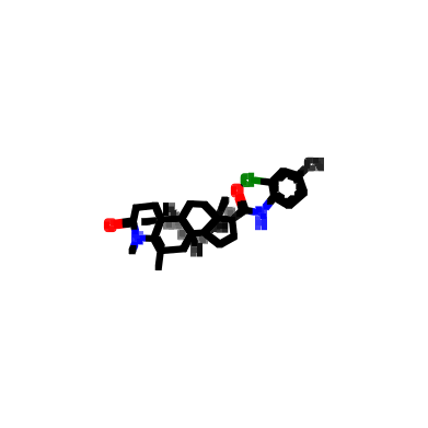 CC1=C2N(C)C(=O)CC[C@]2(C)[C@H]2CC[C@]3(C)[C@@H](C(=O)Nc4ccc(C#N)cc4Cl)CC[C@H]3[C@@H]2C1